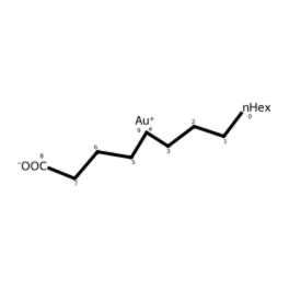 CCCCCCCCCCCCCC(=O)[O-].[Au+]